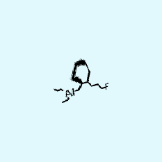 C[CH2][Al]([CH2]C)[CH2]c1ccccc1CCCF